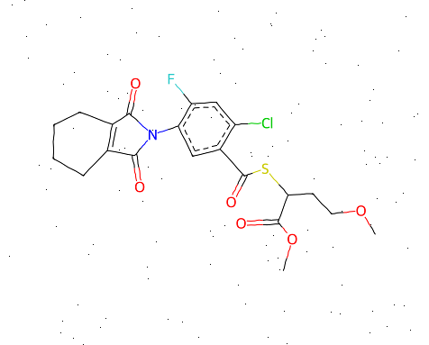 COCCC(SC(=O)c1cc(N2C(=O)C3=C(CCCC3)C2=O)c(F)cc1Cl)C(=O)OC